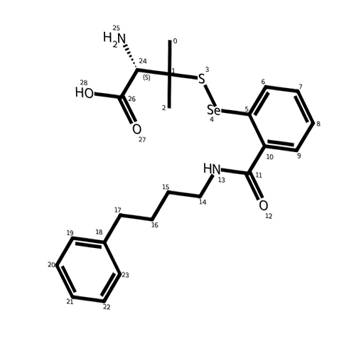 CC(C)(S[Se]c1ccccc1C(=O)NCCCCc1ccccc1)[C@@H](N)C(=O)O